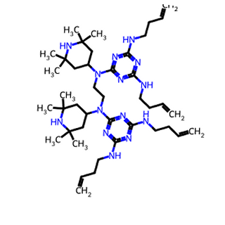 C=CCCNc1nc(NCCC=C)nc(N(CCN(c2nc(NCCC=C)nc(NCCC=C)n2)C2CC(C)(C)NC(C)(C)C2)C2CC(C)(C)NC(C)(C)C2)n1